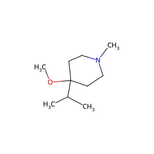 COC1(C(C)C)CCN(C)CC1